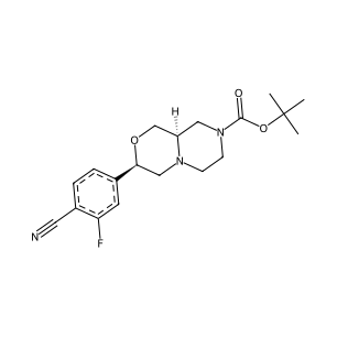 CC(C)(C)OC(=O)N1CCN2C[C@@H](c3ccc(C#N)c(F)c3)OC[C@H]2C1